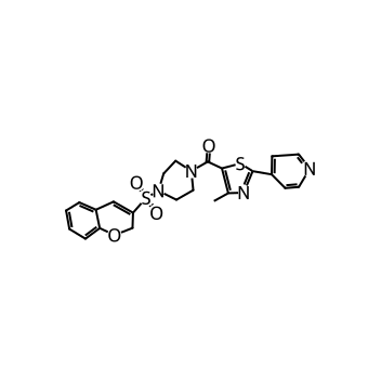 Cc1nc(-c2ccncc2)sc1C(=O)N1CCN(S(=O)(=O)C2=Cc3ccccc3OC2)CC1